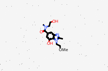 COCCn1c(C)nc2cc(C(=O)N(C)CCO)cc(O)c21